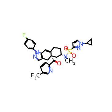 CN([C@H]1CCC2=Cc3c(cnn3-c3ccc(F)cc3)C[C@]2(C(=O)c2ccc(C(F)(F)F)cn2)C1)S(=O)(=O)c1ccn(C2CC2)n1